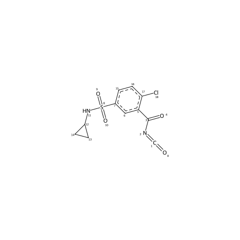 O=C=NC(=O)c1cc(S(=O)(=O)NC2CC2)ccc1Cl